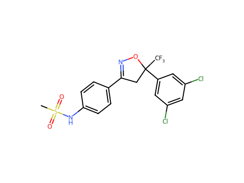 CS(=O)(=O)Nc1ccc(C2=NOC(c3cc(Cl)cc(Cl)c3)(C(F)(F)F)C2)cc1